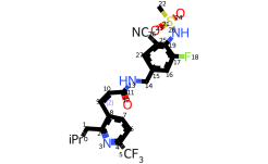 CC(C)Cc1nc(C(F)(F)F)ccc1/C=C\C(=O)NCc1cc(F)c(NS(C)(=O)=O)c(C#N)c1